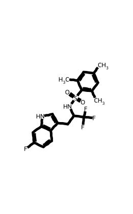 Cc1cc(C)c(S(=O)(=O)NC(Cc2c[nH]c3cc(F)ccc23)C(F)(F)F)c(C)c1